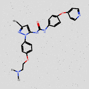 CCN(CC)CCOc1ccc(-n2nc(C(C)(C)C)cc2NC(=O)Nc2ccc(Oc3ccncc3)cc2)cc1